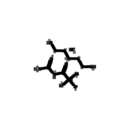 CCC(Br)(CC)C(=O)NC(N)=O.Cl.OCCOCCO